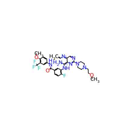 C=C/N=C1/C=NC(N2CCN(CCOC)CC2)=N/C1=C(/N)Nc1cc(C(=O)Nc2ccc(OC)c(C(F)(F)F)c2)ccc1F